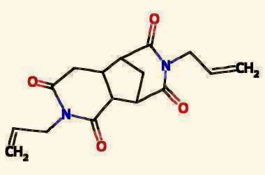 C=CCN1C(=O)C2CC(C1=O)C1C(=O)N(CC=C)C(=O)CC21